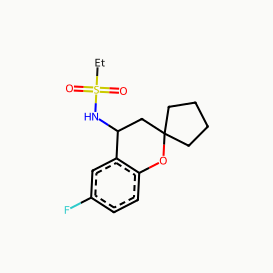 CCS(=O)(=O)NC1CC2(CCCC2)Oc2ccc(F)cc21